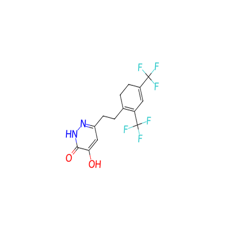 O=c1[nH]nc(CCC2=C(C(F)(F)F)C=C(C(F)(F)F)CC2)cc1O